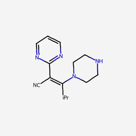 CC(C)C(=C(C#N)c1ncccn1)N1CCNCC1